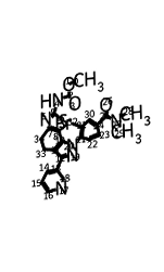 COC(=O)Nc1nc2c(s1)-c1c(c(-c3cccnc3)nn1-c1ccc(C(=O)N(C)C)cc1Br)CC2